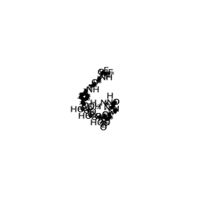 Nc1nc2c(ncn2[C@H]2C[C@H](O[PH](=O)O)[C@@H](COOP(O)OP(O)OP(O)OCc3ccc(CNCCOCCNC(=O)C(F)(F)F)cc3)O2)c(=O)[nH]1